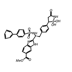 COC(=O)c1ccc2nc([C@H](Cc3ccc(C4CC(=O)NS4(O)O)cc3)NS(=O)(=O)c3ccc(-c4ccccc4)cc3)[nH]c2c1